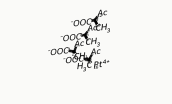 CC(=O)C(C)C(=O)[O-].CC(=O)C(C)C(=O)[O-].CC(=O)C(C)C(=O)[O-].CC(=O)C(C)C(=O)[O-].[Pt+4]